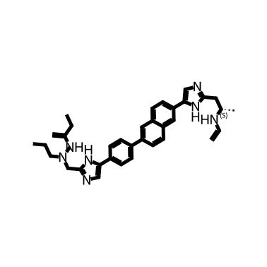 C=CN[C@@H](C)Cc1ncc(-c2ccc3cc(-c4ccc(-c5cnc(CN(CCC)NC(=C)CC)[nH]5)cc4)ccc3c2)[nH]1